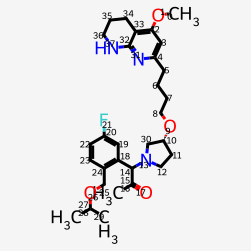 COc1cc(CCCCO[C@@H]2CCN(C(C(C)=O)c3cc(F)ccc3COC(C)C)C2)nc2c1CCCN2